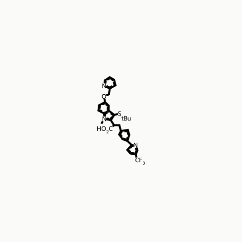 Cn1c(C(Cc2ccc(-c3ccc(C(F)(F)F)cn3)cc2)C(=O)O)c(SC(C)(C)C)c2cc(OCc3ccccn3)ccc21